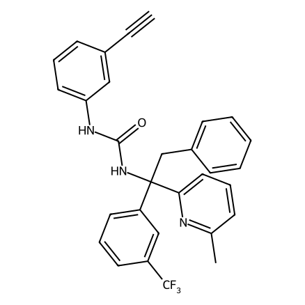 C#Cc1cccc(NC(=O)NC(Cc2ccccc2)(c2cccc(C(F)(F)F)c2)c2cccc(C)n2)c1